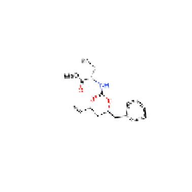 C=CCCC(Cc1ccccc1)OC(=O)N[C@@H](CC(C)C)C(=O)OC